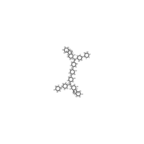 c1ccc(-c2ccc(N(c3ccc(-c4ccc(-c5ccc(N(c6ccc(-c7ccccc7)cc6)c6ccc7c(c6)sc6ccccc67)cc5)cc4)cc3)c3ccc4c(c3)oc3ccccc34)cc2)cc1